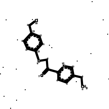 CCc1ccc(C(=O)COc2ccc(CCl)cc2)nc1